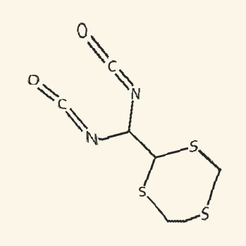 O=C=NC(N=C=O)C1SCSCS1